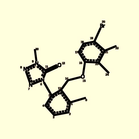 Cc1cccc(-n2nnn(C)c2=O)c1COc1ccc(Br)c(C)c1C